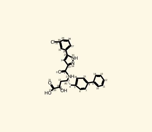 O=C(N[C@H](Cc1ccc(-c2ccccc2)cc1)C[C@@H](O)C(=O)O)c1cc(-c2cccc(Cl)c2)[nH]n1